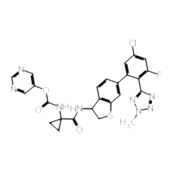 Cn1nnc(-c2c(F)cc(Cl)cc2-c2ccc3c(c2)SCC3NC(=O)C2(NC(=O)Oc3cncnc3)CC2)n1